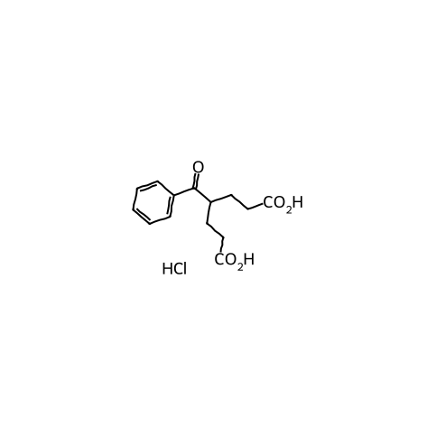 Cl.O=C(O)CCC(CCC(=O)O)C(=O)c1ccccc1